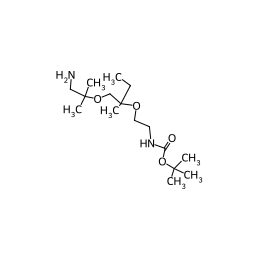 CCC(C)(COC(C)(C)CN)OCCNC(=O)OC(C)(C)C